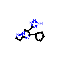 c1ccc(-c2nc3ccnn3cc2-c2nn[nH]n2)cc1